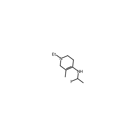 CCN1CCC(NC(C)I)=C(C)C1